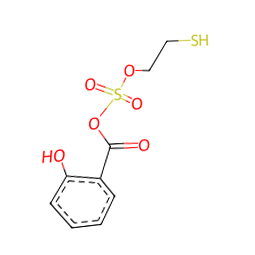 O=C(OS(=O)(=O)OCCS)c1ccccc1O